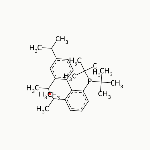 CC(C)c1ccc(-c2c(C(C)C)cccc2P(C(C)(C)C)C(C)(C)C)c(C(C)C)c1